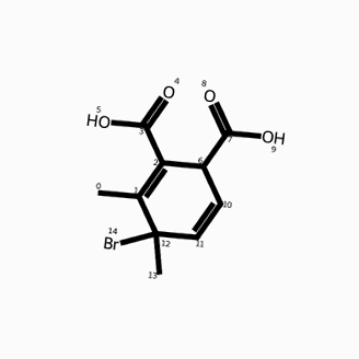 CC1=C(C(=O)O)C(C(=O)O)C=CC1(C)Br